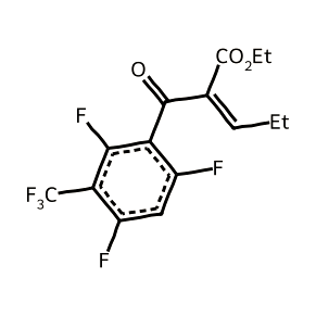 CCC=C(C(=O)OCC)C(=O)c1c(F)cc(F)c(C(F)(F)F)c1F